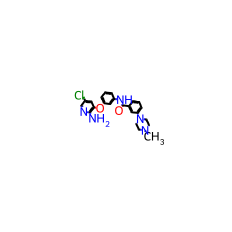 CN1CCN(c2cccc(C(=O)Nc3cccc(Oc4cc(Cl)cnc4N)c3)c2)CC1